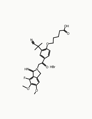 Br.COc1cc2c(c(F)c1OC)C(=N)N(CC(=O)c1ccc(OCCCCC(=O)O)c(C(C)(C)C#N)c1)C2